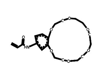 C=CC(=O)Nc1ccc2c(c1)OCCOCCOCCOCCOCCO2